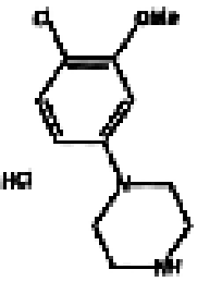 COc1cc(N2CCNCC2)ccc1Cl.Cl